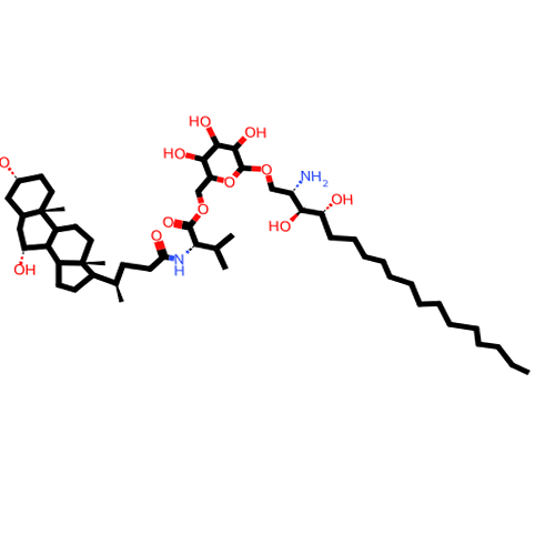 CCCCCCCCCCCCCC[C@@H](O)[C@@H](O)[C@@H](N)COC1OC(COC(=O)[C@@H](NC(=O)CC[C@@H](C)C2CCC3C4C(CC[C@@]32C)[C@@]2(C)CC[C@@H](O)CC2C[C@H]4O)C(C)C)C(O)C(O)C1O